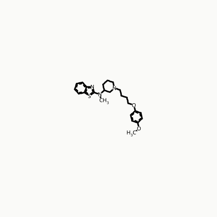 COc1ccc(OCCCCN2CCCC(N(C)c3nc4ccccc4s3)C2)cc1